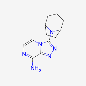 Nc1nccn2c(N3C4CCCC3CC4)nnc12